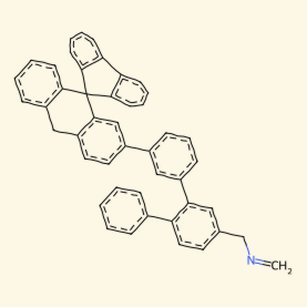 C=NCc1ccc(-c2ccccc2)c(-c2cccc(-c3ccc4c(c3)C3(c5ccccc5C4)c4ccccc4-c4ccccc43)c2)c1